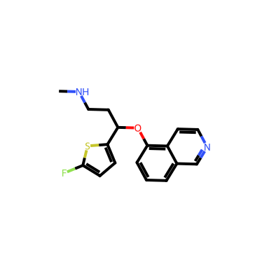 CNCCC(Oc1cccc2cnccc12)c1ccc(F)s1